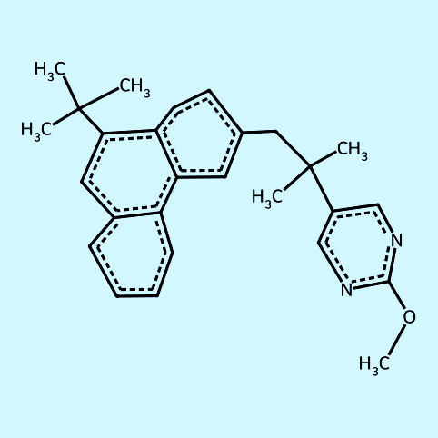 COc1ncc(C(C)(C)Cc2ccc3c(C(C)(C)C)cc4ccccc4c3c2)cn1